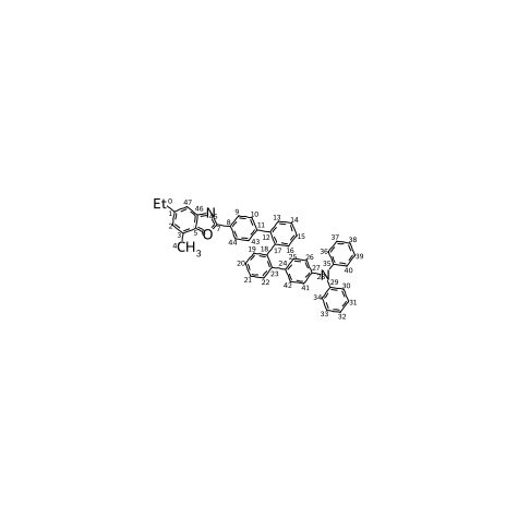 CCc1cc(C)c2oc(-c3ccc(-c4ccccc4-c4ccccc4-c4ccc(N(c5ccccc5)c5ccccc5)cc4)cc3)nc2c1